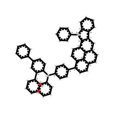 c1ccc(-c2ccc(N(c3ccccc3)c3ccc(-c4ccc5ccc6cc7c8ccccc8n(-c8ccccc8)c7c7ccc4c5c67)cc3)c(-c3ccccc3)c2)cc1